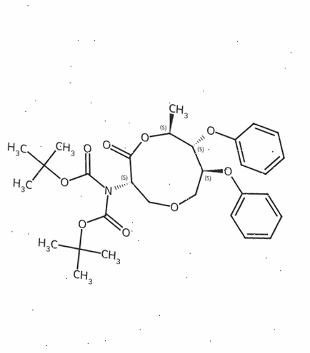 C[C@@H]1OC(=O)[C@@H](N(C(=O)OC(C)(C)C)C(=O)OC(C)(C)C)COC[C@H](Oc2ccccc2)[C@H]1Oc1ccccc1